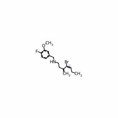 C=C(CCNCc1ccc(F)c(OC)c1)/C(Br)=C\CC